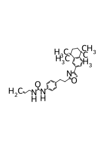 C=CCNC(=O)Nc1ccc(CCc2nc(-c3ccc4c(c3)C(C)(C)CCC4(C)C)co2)cc1